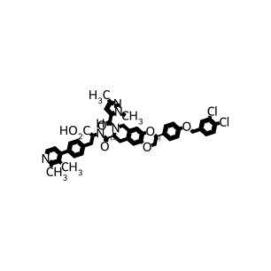 Cc1cc(C(=O)N2Cc3cc4c(cc3C[C@H]2C(=O)NC(Cc2ccc(-c3ccnc(C)c3C)cc2)C(=O)O)OC[C@H](c2ccc(OCc3ccc(Cl)c(Cl)c3)cc2)O4)n(C)n1